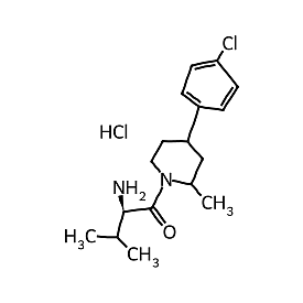 CC(C)[C@@H](N)C(=O)N1CCC(c2ccc(Cl)cc2)CC1C.Cl